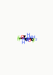 N[C@H](C(=O)Nc1cc(C(NC(=O)CCC(F)(F)F)C2CC2)ccn1)C1CCC(F)(F)CC1